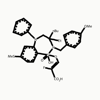 CCCCC1(CC)CN(c2ccccc2)c2cc(SC)ccc2S(=O)(O)(O/C=C(\F)C(=O)O)N1Cc1ccc(OC)cc1